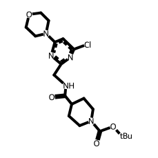 CC(C)(C)OC(=O)N1CCC(C(=O)NCc2nc(Cl)cc(N3CCOCC3)n2)CC1